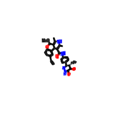 C#Cc1cccc(C2C(C(=O)Nc3ccc(C4=NNC(=O)C(=O)C4CCC)cc3)=C(C)NC(C)=C2C(=O)OC)c1